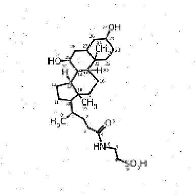 C[C@H](CCC(=O)NCCS(=O)(=O)O)[C@H]1CC[C@@H]2C3[C@@H](CC[C@@]21C)[C@@]1(C)CC[C@H](O)CC1C[C@@H]3O